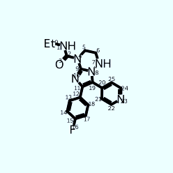 CCNC(=O)N1CCNn2c1nc(-c1ccc(F)cc1)c2-c1ccncc1